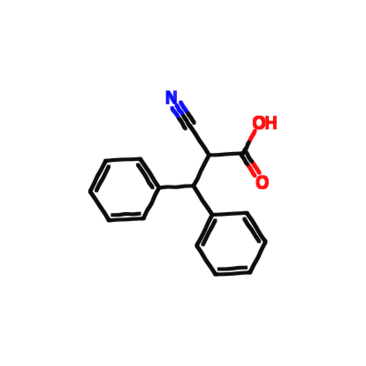 N#CC(C(=O)O)C(c1ccccc1)c1ccccc1